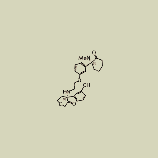 CN[C@@]1(c2cccc(OCCN[C@@]3(c4cccc(O)c4)CCCCC3=O)c2)CCCCC1=O